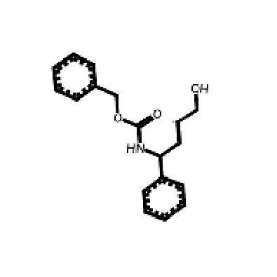 O=C(NC(C[CH]CO)c1ccccc1)OCc1ccccc1